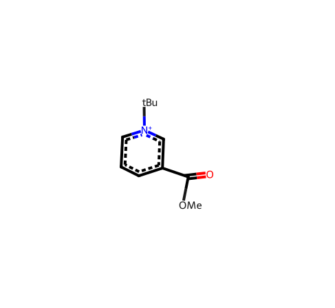 COC(=O)c1ccc[n+](C(C)(C)C)c1